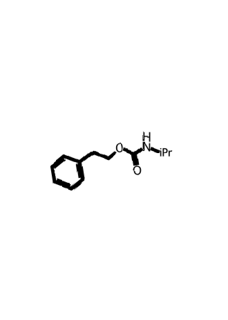 CC(C)NC(=O)OCCc1ccccc1